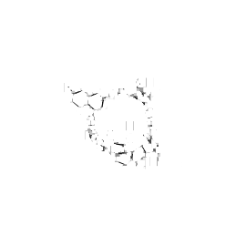 Cc1nn2c(c1C)-c1c(Cl)ccc3c1c(C)c(C(=O)O)n3CCCOc1cc(cc3cc(F)ccc13)CCc1cc(nn1C)CCC2